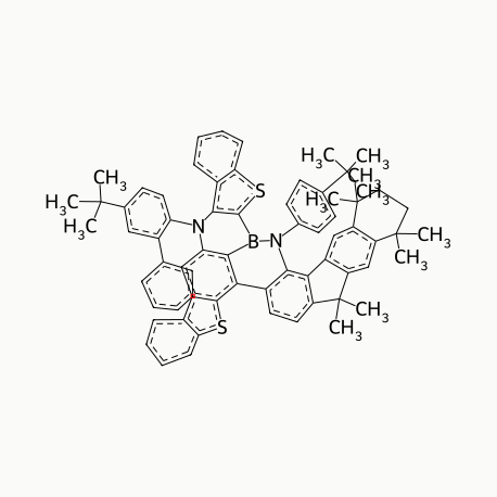 CC(C)(C)c1ccc(N2B3c4sc5ccccc5c4N(c4ccc(C(C)(C)C)cc4-c4ccccc4)c4cc5c(sc6ccccc65)c(c43)-c3ccc4c(c32)-c2cc3c(cc2C4(C)C)C(C)(C)CCC3(C)C)cc1